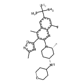 BC(B)(B)c1cc(F)c2nc(N3CC[C@@H](NC4CCOCC4)C[C@H]3C)c(-c3nc(C)no3)c(C)c2c1